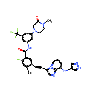 Cc1cc(F)c(C(=O)Nc2cc(N3CCN(C)C(=O)C3)cc(C(F)(F)F)c2)cc1C#Cc1cnc2c(Nc3cn[nH]c3)cccn12